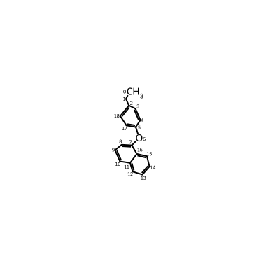 CCc1ccc(Oc2cccc3ccccc23)cc1